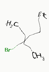 [CH2]C(C)(Br)CCC